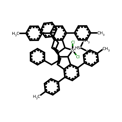 Cc1ccc(-c2ccc(-c3ccc(C)cc3)c3c2C=C(CCc2ccccc2)[CH]3[Zr]([Cl])([Cl])([CH]2C(CCc3ccccc3)=Cc3c(-c4ccc(C)cc4)ccc(-c4ccc(C)cc4)c32)[SiH](C)C)cc1